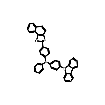 c1ccc(N(c2ccc(-c3nc4ccc5ccccc5c4o3)cc2)c2ccc(-n3c4ccccc4c4ccccc43)cc2)cc1